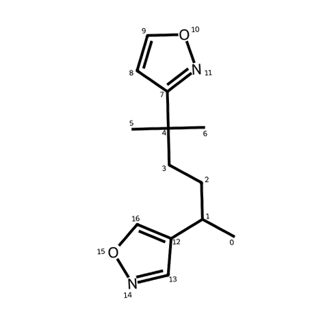 CC(CCC(C)(C)c1ccon1)c1cnoc1